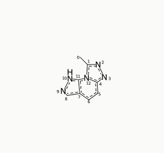 Cc1nnc2ccc3cn[nH]c3n12